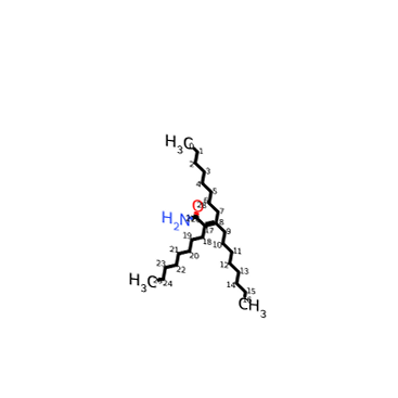 CCCCCCCCC(CCCCCCCC)=C(CCCCCCCC)C(N)=O